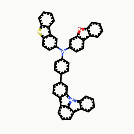 c1ccc2c(c1)oc1cc(N(c3ccc(-c4ccc5c6cccc7c8ccccc8n(c5c4)c76)cc3)c3ccc4sc5ccccc5c4c3)ccc12